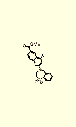 COC(=O)c1ccc2nc(N3CCS(=O)(=O)c4ccccc4C3)cc(Cl)c2c1